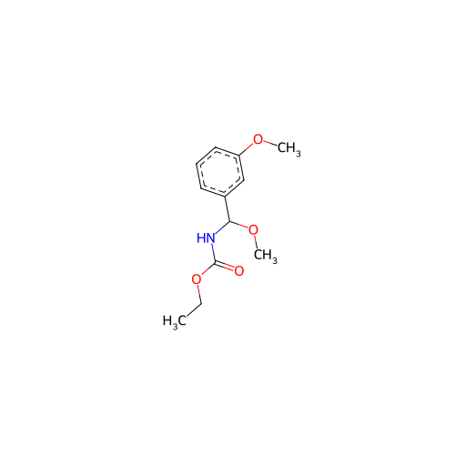 CCOC(=O)NC(OC)c1cccc(OC)c1